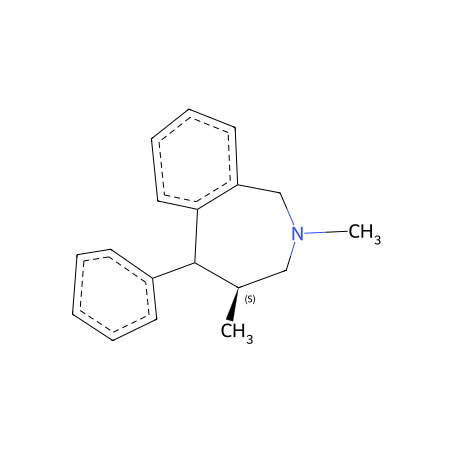 C[C@@H]1CN(C)Cc2ccccc2C1c1ccccc1